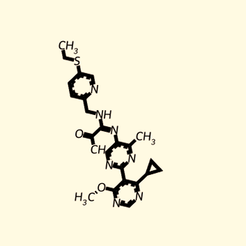 CCSc1ccc(CN/C(=N/c2cnc(-c3c(OC)ncnc3C3CC3)nc2C)C(C)=O)nc1